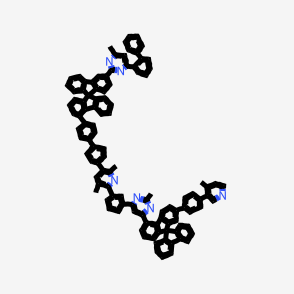 Cc1cc(-c2ccccc2-c2ccccc2)nc(-c2ccc3c(c2)-c2ccccc2C32c3ccccc3-c3c(-c4ccc(-c5ccc(-c6cc(C)c(-c7cccc(-c8cc(-c9cccc%10c9-c9ccc(-c%11ccc(-c%12cnccc%12C)cc%11)cc9C%109c%10ccccc%10-c%10ccccc%109)nc(C)n8)c7)nc6C)cc5)cc4)cccc32)n1